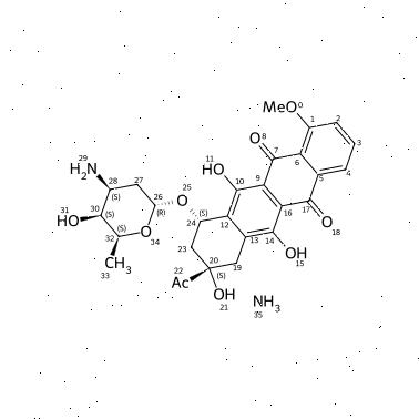 COc1cccc2c1C(=O)c1c(O)c3c(c(O)c1C2=O)C[C@@](O)(C(C)=O)C[C@@H]3O[C@H]1C[C@H](N)[C@H](O)[C@H](C)O1.N